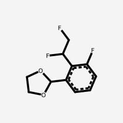 FCC(F)c1c(F)cccc1C1OCCO1